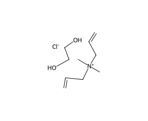 C=CC[N+](C)(C)CC=C.OCCO.[Cl-]